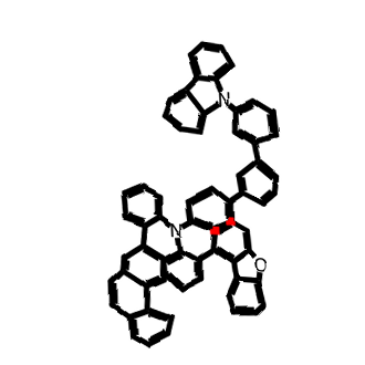 c1cc(-c2ccc(N(c3ccccc3-c3ccc4c(ccc5ccccc54)c3)c3ccccc3-c3cccc4oc5ccccc5c34)cc2)cc(-c2cccc(-n3c4ccccc4c4ccccc43)c2)c1